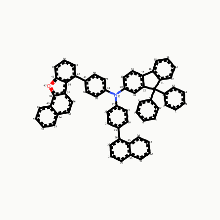 c1ccc(C2(c3ccccc3)c3ccccc3-c3ccc(N(c4ccc(-c5cccc6ccccc56)cc4)c4ccc(-c5cccc6oc7c8ccccc8ccc7c56)cc4)cc32)cc1